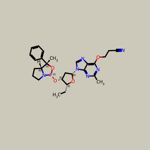 CC[C@H]1O[C@@H](n2cnc3c(OCCC#N)nc(C)nc32)C[C@H]1O[P@]1O[C@@](C)(c2ccccc2)[C@H]2CCCN21